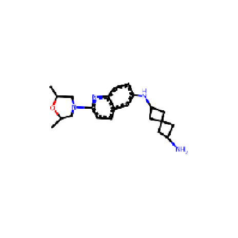 CC1CN(c2ccc3cc(NC4CC5(CC(N)C5)C4)ccc3n2)CC(C)O1